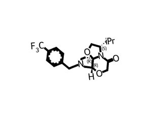 CC(C)[C@H]1CO[C@]23CCN(Cc4ccc(C(F)(F)F)cc4)C[C@H]2OCC(=O)N13